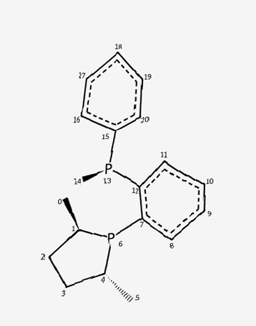 C[C@@H]1CC[C@@H](C)P1c1ccccc1[P@@](C)c1ccccc1